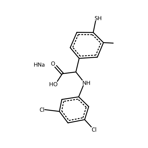 Cc1cc(C(Nc2cc(Cl)cc(Cl)c2)C(=O)O)ccc1S.[NaH]